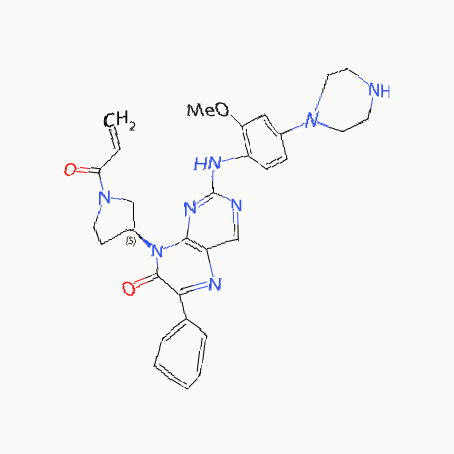 C=CC(=O)N1CC[C@H](n2c(=O)c(-c3ccccc3)nc3cnc(Nc4ccc(N5CCNCC5)cc4OC)nc32)C1